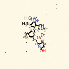 CC[C@@H]1CN(Cc2cc([C@H](CC(=O)O)c3cc(C)c4c(nnn4C)c3C)cc3ccsc23)Cc2nc(O)ccc2O1